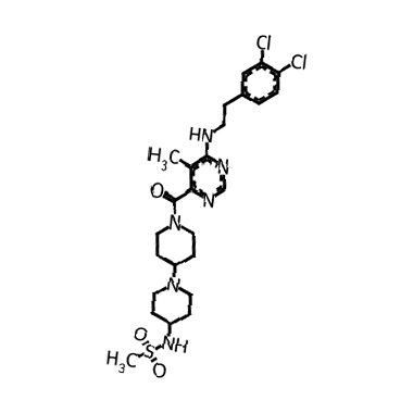 Cc1c(NCCc2ccc(Cl)c(Cl)c2)ncnc1C(=O)N1CCC(N2CCC(NS(C)(=O)=O)CC2)CC1